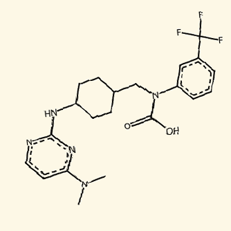 CN(C)c1ccnc(NC2CCC(CN(C(=O)O)c3cccc(C(F)(F)F)c3)CC2)n1